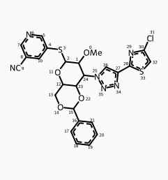 COC1C(Sc2cncc(C#N)c2)OC2COC(c3ccccc3)OC2C1n1cc(-c2nc(Cl)cs2)nn1